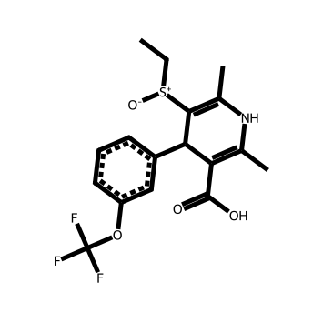 CC[S+]([O-])C1=C(C)NC(C)=C(C(=O)O)C1c1cccc(OC(F)(F)F)c1